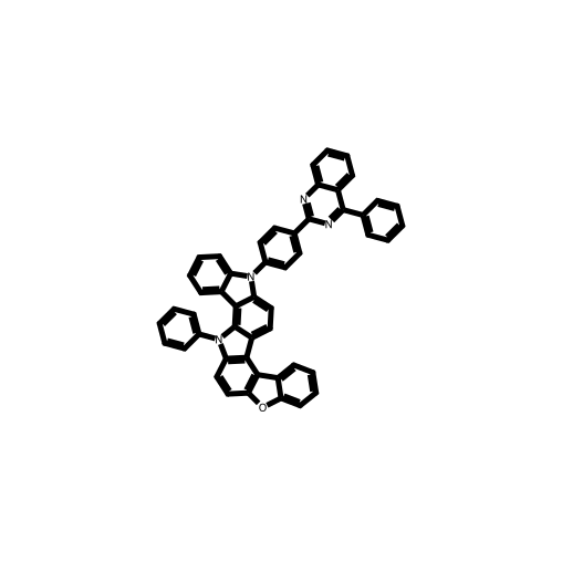 c1ccc(-c2nc(-c3ccc(-n4c5ccccc5c5c4ccc4c6c7c(ccc6n(-c6ccccc6)c45)oc4ccccc47)cc3)nc3ccccc23)cc1